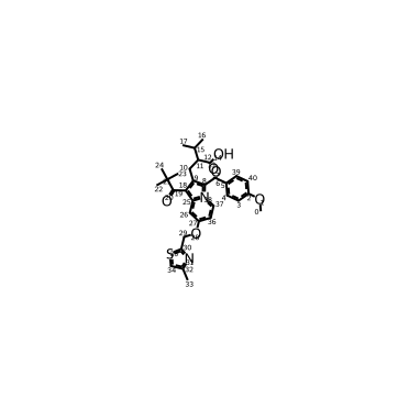 COc1ccc(C(=O)c2c(CC(C(=O)O)C(C)C)c(C(=O)C(C)(C)C)c3cc(OCc4nc(C)cs4)ccn23)cc1